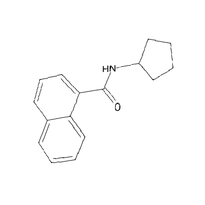 O=C(NC1CCCC1)c1cccc2ccccc12